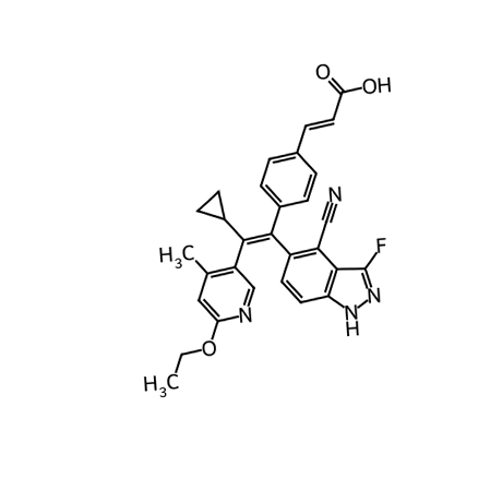 CCOc1cc(C)c(C(=C(c2ccc(C=CC(=O)O)cc2)c2ccc3[nH]nc(F)c3c2C#N)C2CC2)cn1